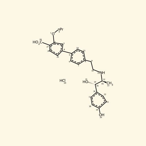 CCCOc1cc(-c2ccc(CCN[C@@H](C)[C@@H](O)c3ccc(O)cc3)cc2)ccc1C(=O)O.Cl